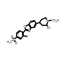 CCC1CC(c2ccc3oc(-c4ccc(S(C)(=O)=O)cc4F)nc3c2)CCN1C(=O)O